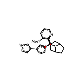 COc1cccnc1C1(O)CC2CCC(C1)N2C(=O)c1csc(-c2cn[nH]c2)c1